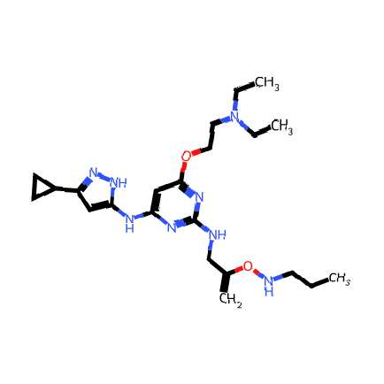 C=C(CNc1nc(Nc2cc(C3CC3)n[nH]2)cc(OCCN(CC)CC)n1)ONCCC